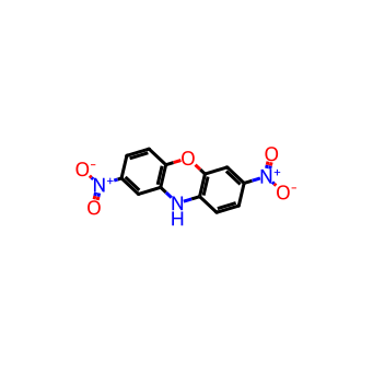 O=[N+]([O-])c1ccc2c(c1)Nc1ccc([N+](=O)[O-])cc1O2